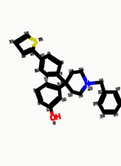 Oc1cccc(C2(c3ccc(-c4cccs4)cc3)CCN(Cc3ccccc3)CC2)c1